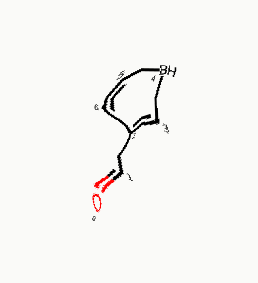 O=CC1=CBC=C1